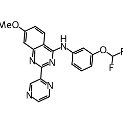 COc1ccc2c(Nc3cccc(OC(F)F)c3)nc(-c3cnccn3)nc2c1